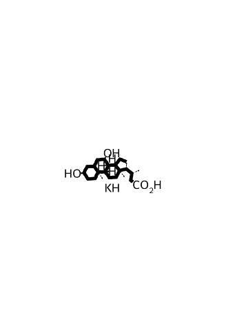 C[C@H](CC(=O)O)[C@H]1CC[C@H]2[C@@H]3[C@@H](O)CC4C[C@H](O)CC[C@]4(C)[C@H]3CC[C@]12C.[KH]